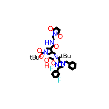 CC(C)(C)OC(=O)N1CC(CN(C(=O)CO)C(c2nc(-c3cc(F)ccc3F)cn2Cc2ccccc2)C(C)(C)C)C(C(=O)NCCN2C(=O)C=CC2=O)C1